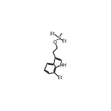 CCc1cccc2c(CCO[Si](C)(CC)CC)c[nH]c12